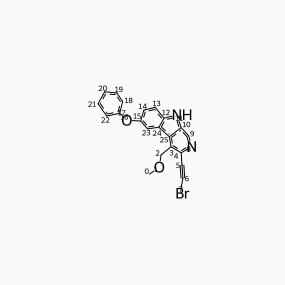 COCc1c(C#CBr)ncc2[nH]c3ccc(Oc4ccccc4)cc3c12